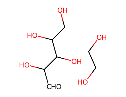 O=CC(O)C(O)C(O)CO.OCCO